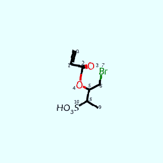 C=CC(=O)OC(CBr)C(C)S(=O)(=O)O